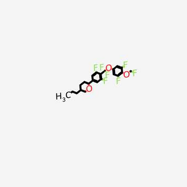 CCCC1CCC(c2cc(F)c(C(F)(F)Oc3cc(F)c(OCF)c(F)c3)c(F)c2)OC1